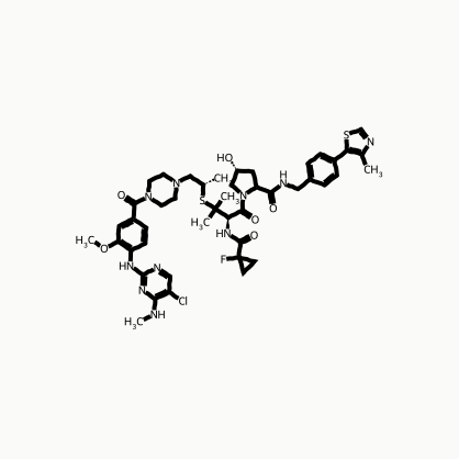 CNc1nc(Nc2ccc(C(=O)N3CCN(C[C@H](C)SC(C)(C)[C@H](NC(=O)C4(F)CC4)C(=O)N4C[C@H](O)CC4C(=O)NCc4ccc(-c5scnc5C)cc4)CC3)cc2OC)ncc1Cl